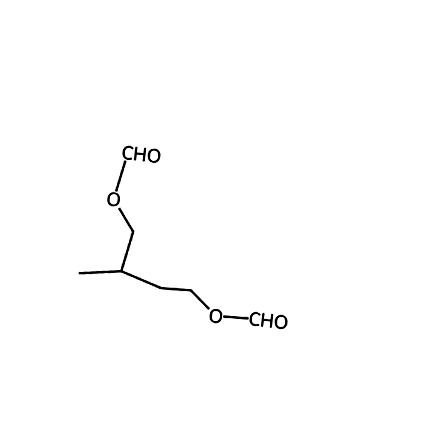 CC(CCOC=O)COC=O